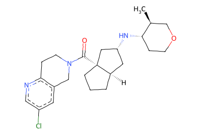 C[C@H]1COCC[C@@H]1N[C@@H]1C[C@H]2CCC[C@@]2(C(=O)N2CCc3ncc(Cl)cc3C2)C1